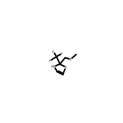 CSCC1(C(F)(F)F)NC=CS1